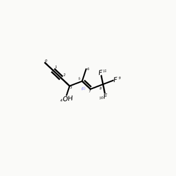 CC#CC(O)/C(C)=C/C(F)(F)F